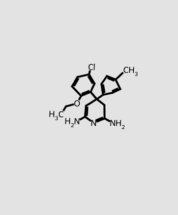 CCOc1ccc(Cl)cc1C1(c2ccc(C)cc2)C=C(N)N=C(N)C1